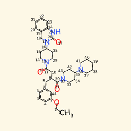 CCOc1cccc(CC(CC(=O)N2CCC(N3Cc4ccccc4NC3=O)CC2)C(=O)N2CCC(N3CCCCC3)CC2)c1